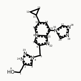 OCc1cn(Cc2cn3cc(C4CC4)cc(-n4cnnc4)c3n2)nn1